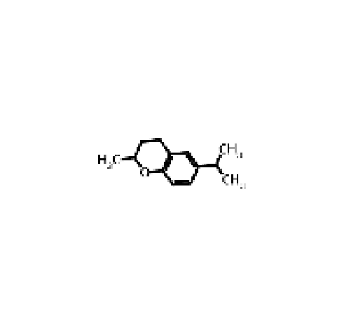 CC1CCc2cc(C(C)C)ccc2O1